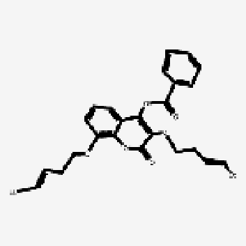 CCC=CCCOc1c(OC(=O)c2ccccc2)c2cccc(OCCC=CCC)c2oc1=O